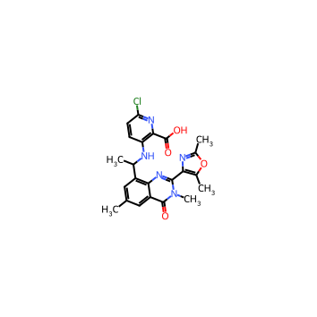 Cc1cc(C(C)Nc2ccc(Cl)nc2C(=O)O)c2nc(-c3nc(C)oc3C)n(C)c(=O)c2c1